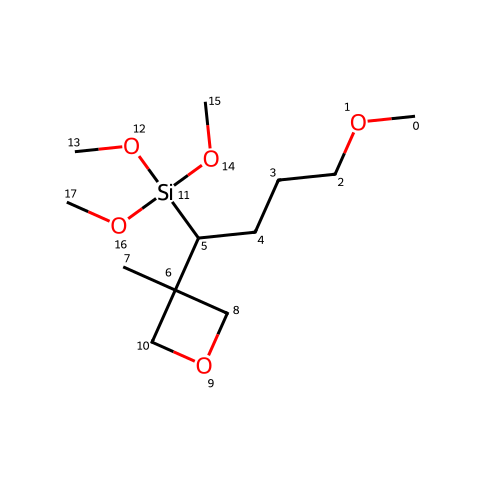 COCCCC(C1(C)COC1)[Si](OC)(OC)OC